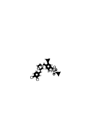 O=C(NS(=O)(=O)C1CC1)c1cc(C2CC2)c(CN2CCO[C@H](Cc3ccc(Cl)c(Cl)c3)C2)cc1F